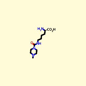 CN1CCN(C(=O)NCCCC[C@H](N)C(=O)O)CC1